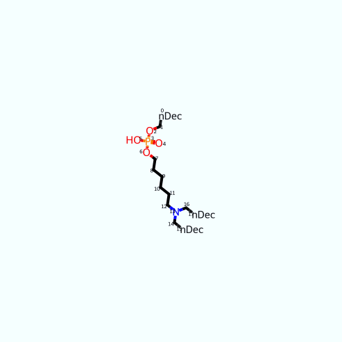 CCCCCCCCCCCOP(=O)(O)OCCCCCCN(CCCCCCCCCCC)CCCCCCCCCCC